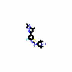 Cc1cn2nc(-c3cc(F)c4nc(N(C)C5CC(C)(C)NC(C)(C)C5)sc4c3)cc(C)c2n1